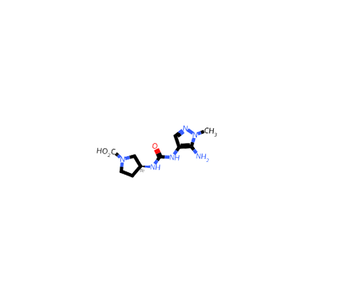 Cn1ncc(NC(=O)N[C@H]2CCN(C(=O)O)C2)c1N